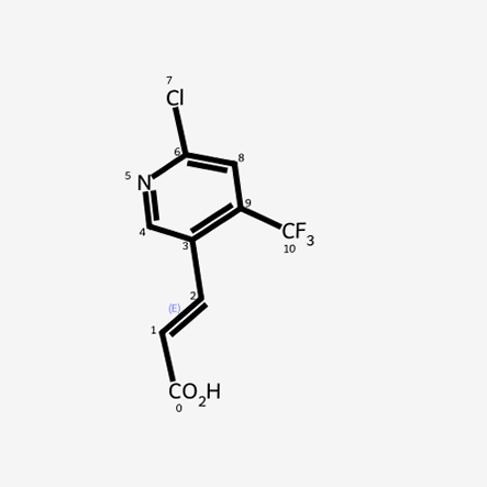 O=C(O)/C=C/c1cnc(Cl)cc1C(F)(F)F